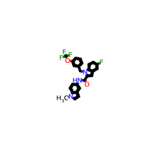 Cn1ccc2cc(NC(=O)c3cc4cc(F)ccc4n3Cc3cccc(OC(F)(F)F)c3)ccc21